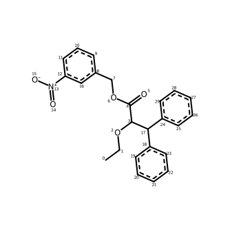 CCOC(C(=O)OCc1cccc([N+](=O)[O-])c1)C(c1ccccc1)c1ccccc1